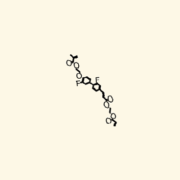 C=CC(=O)OCCOC(=O)/C=C/c1ccc(-c2ccc(OCCOC(=O)C(=C)C)c(F)c2)c(F)c1